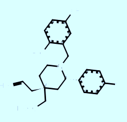 C=CC[C@@]1(CC(=O)O)CCN(Cc2cc(C(F)(F)F)ccc2C(F)(F)F)[C@H](c2ccc(C(F)(F)F)cc2)C1